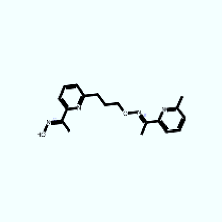 C/C(=N\OCCCc1cccc(/C(C)=N/O)n1)c1cccc(C)n1